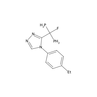 CCc1ccc(-n2cnnc2C(F)(P)P)cc1